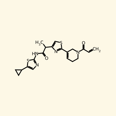 C=CC(=O)N1CCC=C(c2nc(C(C)C(=O)Nc3ncc(C4CC4)s3)cs2)C1